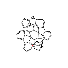 c1ccc(-c2cccc3c2C2(c4ccccc4C4(c5ccccc5-c5ccccc54)c4ccccc42)c2c-3ccc3oc4ccccc4c23)nc1